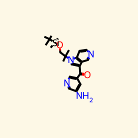 CC(C)(CO[Si](C)(C)C(C)(C)C)n1cc(C(=O)c2cncc(N)c2)c2cnccc21